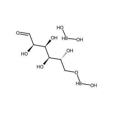 O=C[C@H](O)[C@@H](O)[C@H](O)[C@H](O)COBO.OBO